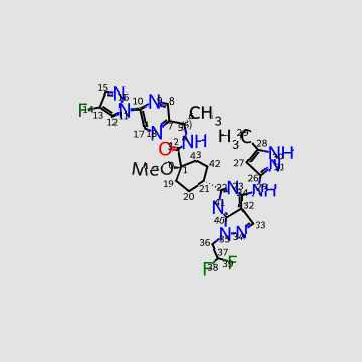 CO[C@]1(C(=O)N[C@@H](C)c2cnc(-n3cc(F)cn3)cn2)CC[C@@H](c2nc(Nc3cc(C)[nH]n3)c3cnn(CC(F)F)c3n2)CC1